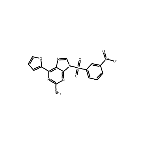 Nc1nc(-c2ccco2)c2ncn(S(=O)(=O)c3cccc([N+](=O)[O-])c3)c2n1